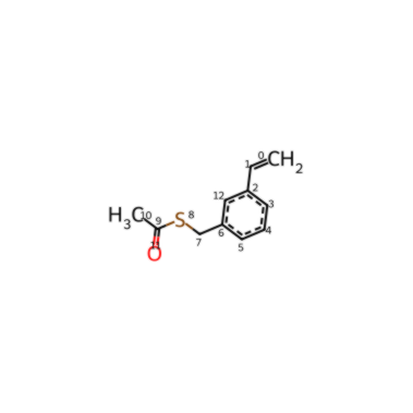 C=Cc1cccc(CSC(C)=O)c1